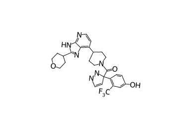 O=C(N1CCC(c2ccnc3[nH]c(C4CCOCC4)nc23)CC1)C1(c2ccc(O)cc2C(F)(F)F)C=CN=N1